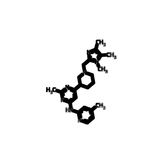 Cc1ccnc(Nc2cc(C3CCCN(Cc4nc(C)c(C)n4C)C3)nc(C)n2)c1